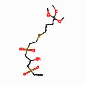 C=CS(=O)(=O)CC(O)CS(=O)(=O)CCSCCC[Si](OC)(OC)OC